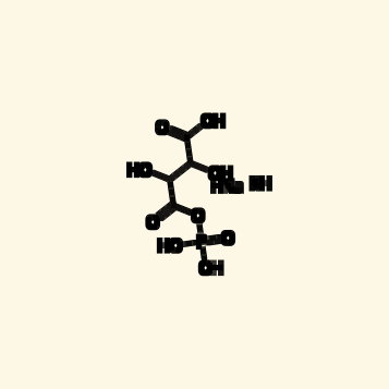 O=C(O)C(O)C(O)C(=O)OP(=O)(O)O.[KH].[NaH]